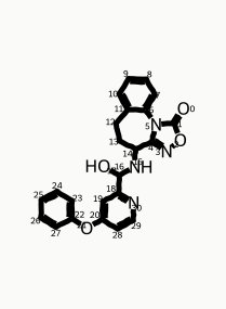 O=c1onc2n1-c1ccccc1CCC2NC(O)c1cc(Oc2ccccc2)ccn1